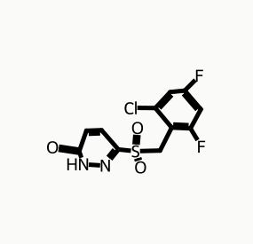 O=c1ccc(S(=O)(=O)Cc2c(F)cc(F)cc2Cl)n[nH]1